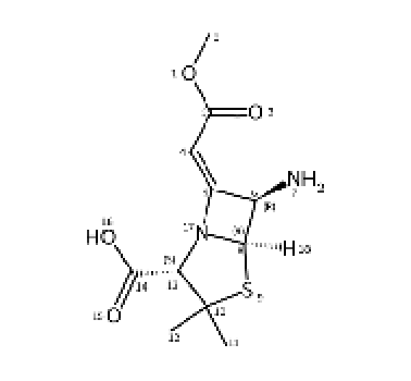 COC(=O)C=C1[C@@H](N)[C@H]2SC(C)(C)[C@H](C(=O)O)N12